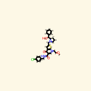 COCCn1cc(C(=O)NCc2ccc(Cl)cc2)c(=O)c2cc(CN3CCC[C@@H]3[C@@H](O)c3ccccc3)sc21